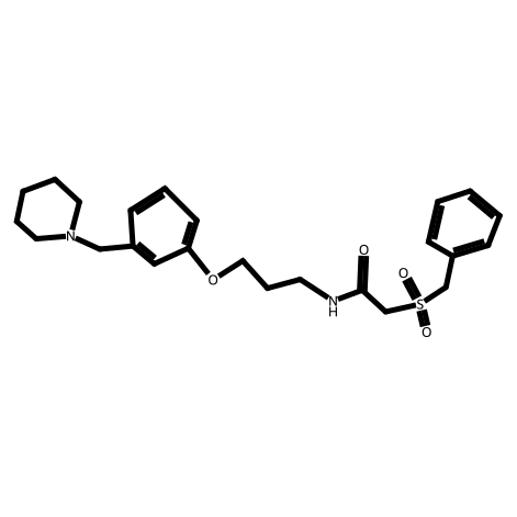 O=C(CS(=O)(=O)Cc1ccccc1)NCCCOc1cccc(CN2CCCCC2)c1